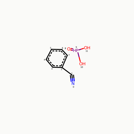 N#Cc1ccccc1.O=[PH](O)O